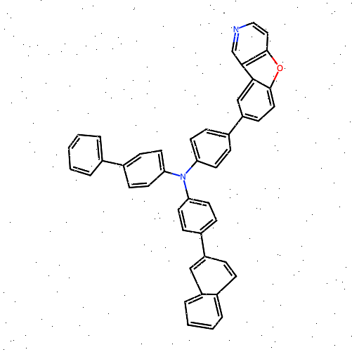 c1ccc(-c2ccc(N(c3ccc(-c4ccc5ccccc5c4)cc3)c3ccc(-c4ccc5oc6ccncc6c5c4)cc3)cc2)cc1